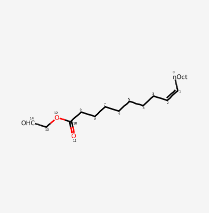 CCCCCCCC/C=C\CCCCCCCC(=O)OCC=O